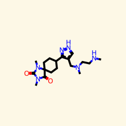 CNCCN(C)Cc1c[nH]nc1C1CCC2(CC1)C(=O)N(C)C(=O)N2C